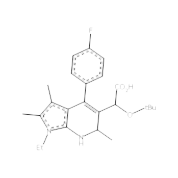 CCn1c(C)c(C)c2c1NC(C)C(C(OC(C)(C)C)C(=O)O)=C2c1ccc(F)cc1